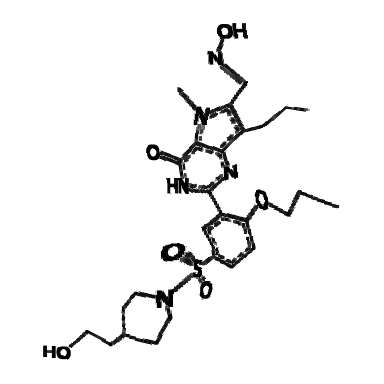 CCCOc1ccc(S(=O)(=O)N2CCC(CCO)CC2)cc1-c1nc2c(CCC)c(/C=N/O)n(C)c2c(=O)[nH]1